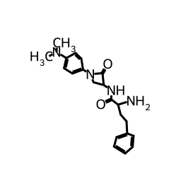 CN(C)c1ccc(N2CC(NC(=O)C(N)CCc3ccccc3)C2=O)cc1